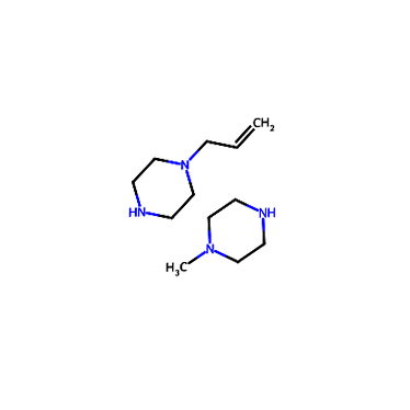 C=CCN1CCNCC1.CN1CCNCC1